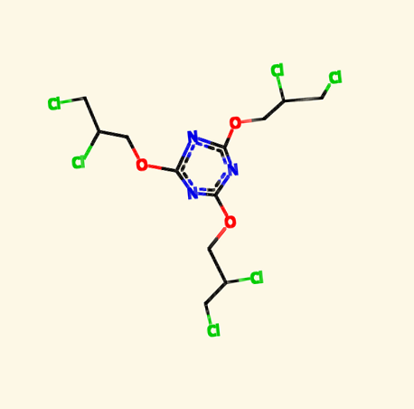 ClCC(Cl)COc1nc(OCC(Cl)CCl)nc(OCC(Cl)CCl)n1